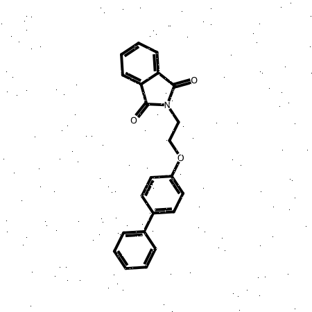 O=C1c2ccccc2C(=O)N1CCOc1ccc(-c2ccccc2)cc1